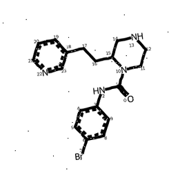 O=C(Nc1ccc(Br)cc1)N1CCNCC1CCc1cccnc1